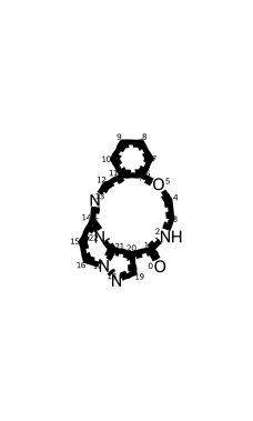 O=c1[nH]ccoc2ccccc2cnc2ccn3ncc1c3n2